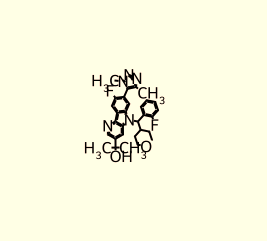 Cc1nnn(C)c1-c1cc2c(cc1F)c1ncc(C(C)(C)O)cc1n2C(c1ccccc1F)C1CCOCC1